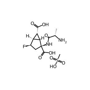 CS(=O)(=O)O.C[C@H](N)C(=O)N[C@@]1(C(=O)O)C[C@@H](F)[C@H]2[C@H](C(=O)O)[C@H]21